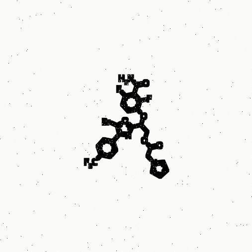 NC(=O)c1c(F)ccc(OC(COC(=O)Cn2cccc2)c2nc(-c3ccc(C(F)(F)F)cc3)c(Br)o2)c1F